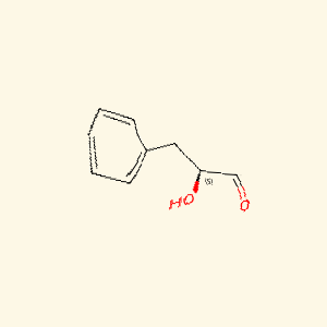 O=[C][C@@H](O)Cc1ccccc1